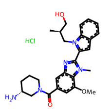 COc1cc(C(=O)N2CCC[C@@H](N)C2)cc2nc(-c3cc4ccccc4n3C[C@@H](C)CO)n(C)c12.Cl